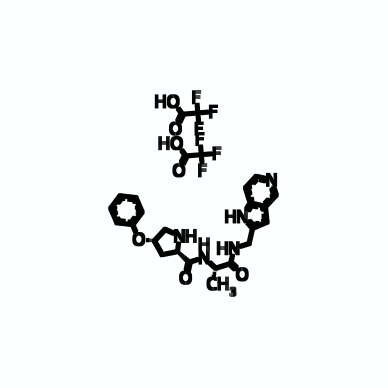 C[C@H](NC(=O)[C@H]1C[C@H](Oc2ccccc2)CN1)C(=O)NCc1cc2cnccc2[nH]1.O=C(O)C(F)(F)F.O=C(O)C(F)(F)F